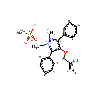 C=C(Cl)COc1c(-c2ccccc2)n(C)[n+](C)c1-c1ccccc1.COS(=O)(=O)[O-]